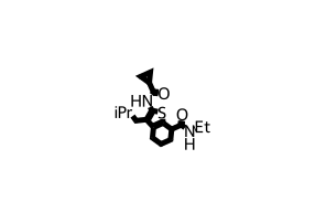 CCNC(=O)C1CCCc2c1sc(NC(=O)C1CC1)c2CC(C)C